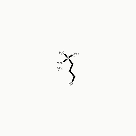 CO[Si](C)(CCCO)OC.[CH3]